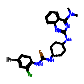 CC(C)c1ccc(NC(=S)NC2CCC(Nc3nc(N(C)C)c4ccccc4n3)CC2)c(Br)c1